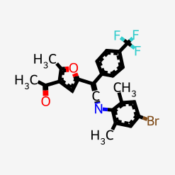 CC(=O)c1cc(C(=C=Nc2c(C)cc(Br)cc2C)c2ccc(C(F)(F)F)cc2)oc1C